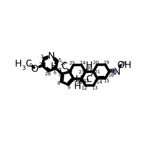 COc1cncc(C2=CC=C3[C@@H]4CCC5=C/C(=N/O)CC[C@]5(C)[C@H]4CC[C@]23C)c1